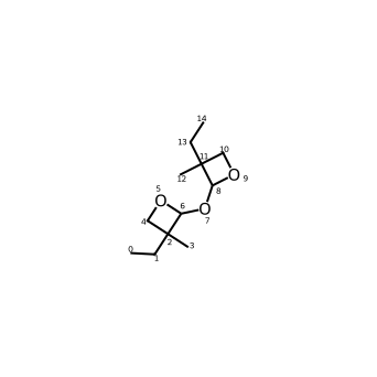 CCC1(C)COC1OC1OCC1(C)CC